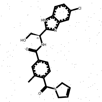 Cc1cc(C(=O)N[C@@H](CO)c2nc3cc(Cl)ccc3[nH]2)ccc1C(=O)N1CC=CC1